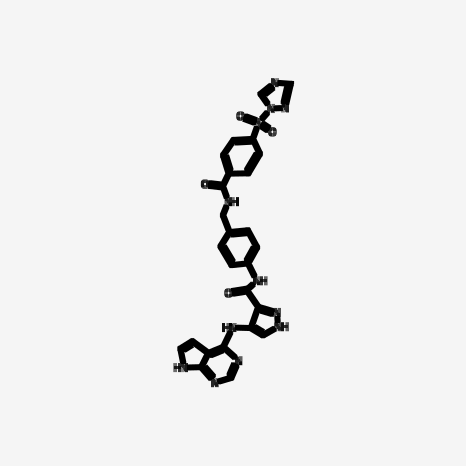 O=C(NCc1ccc(NC(=O)c2n[nH]cc2Nc2ncnc3[nH]ccc23)cc1)c1ccc(S(=O)(=O)n2cncn2)cc1